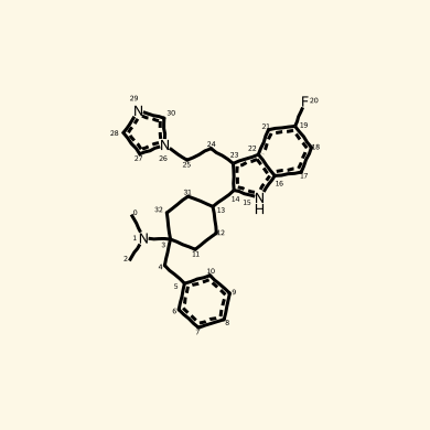 CN(C)C1(Cc2ccccc2)CCC(c2[nH]c3ccc(F)cc3c2CCn2ccnc2)CC1